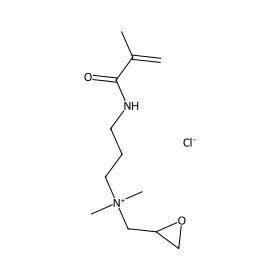 C=C(C)C(=O)NCCC[N+](C)(C)CC1CO1.[Cl-]